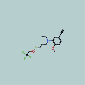 C#Cc1ccc(OC)c(N(CC)CCCSOCC(F)(F)F)c1